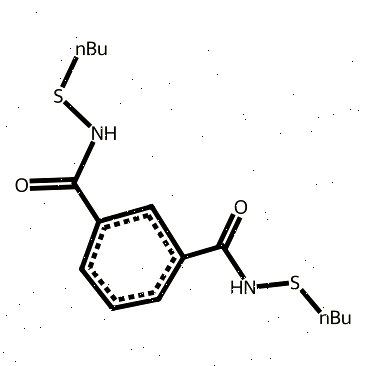 CCCCSNC(=O)c1cccc(C(=O)NSCCCC)c1